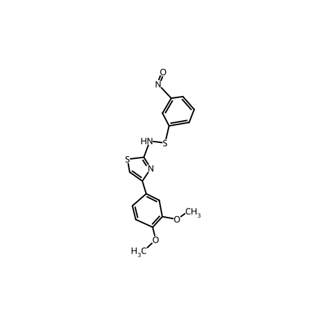 COc1ccc(-c2csc(NSc3cccc(N=O)c3)n2)cc1OC